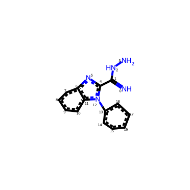 N=C(NN)c1nc2ccccc2n1-c1ccccc1